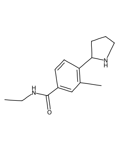 CCNC(=O)c1ccc(C2CCCN2)c(C)c1